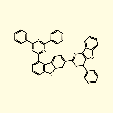 C1=C(C2=Nc3c(sc4ccccc34)C(c3ccccc3)N2)CC2Sc3cccc(-c4nc(-c5ccccc5)nc(-c5ccccc5)n4)c3C2=C1